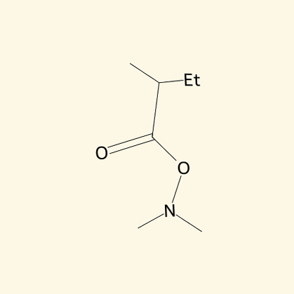 CCC(C)C(=O)ON(C)C